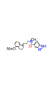 COc1cccc2c1CCC[C@@H]2CCCN(C)C(=O)c1ccc2[nH]cnc2c1